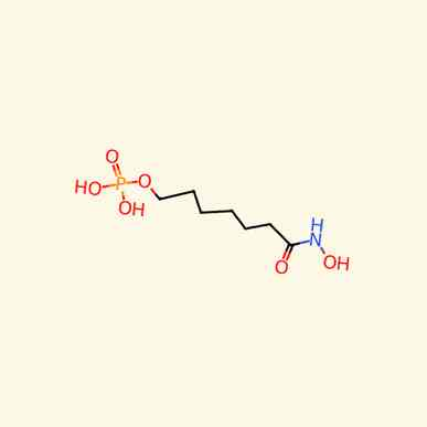 O=C(CCCCCCOP(=O)(O)O)NO